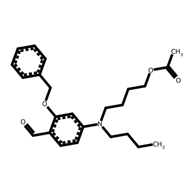 CCCCN(CCCCOC(C)=O)c1ccc(C=O)c(OCc2ccccc2)c1